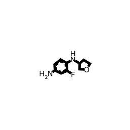 Nc1ccc(NC2CCOC2)c(F)c1